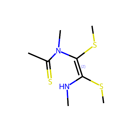 CN/C(SC)=C(/SC)N(C)C(C)=S